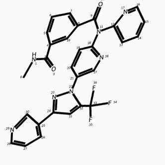 CNC(=O)c1cccc(C(=O)N(c2ccccn2)c2ccc(-n3nc(-c4cccnc4)cc3C(F)(F)F)cn2)c1